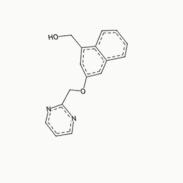 OCc1cc(OCc2ncccn2)cc2ccccc12